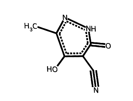 Cc1n[nH]c(=O)c(C#N)c1O